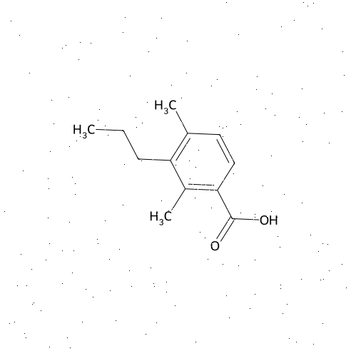 CCCc1c(C)ccc(C(=O)O)c1C